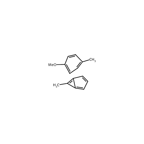 COc1ccc(C)cc1.Cc1c2cccc1-2